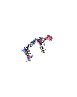 Cc1ncsc1-c1ccc(CNC(=O)[C@@H]2C[C@@H](OC(=O)CCC(=O)ON3C(=O)CCC3=O)CN2C(=O)[C@@H](NC(=O)CN2CC(N3CCN(c4ccc(-c5cnc6[nH]cc(C(=O)c7c(F)ccc(NS(=O)(=O)N8CC[C@@H](F)C8)c7F)c6c5)cc4)CC3)C2)C(C)(C)C)cc1